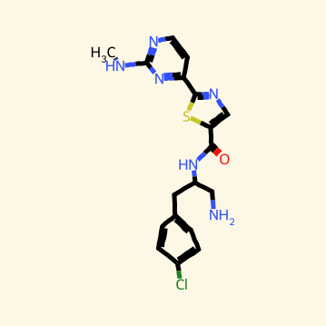 CNc1nccc(-c2ncc(C(=O)NC(CN)Cc3ccc(Cl)cc3)s2)n1